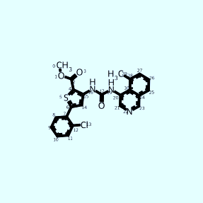 COC(=O)c1sc(-c2ccccc2Cl)cc1NC(=O)Nc1cncc2cccc(C)c12